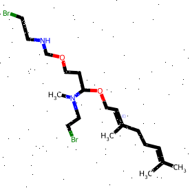 CC(C)=CCC/C(C)=C/COC(CCOCNCCBr)N(C)CCBr